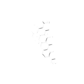 COC(=O)c1ccc2c(c1O)C(=O)C1=C(O)[C@]3(O)C(=O)C(C(N)=O)=C(O)[C@@H](N(C)C)[C@@H]3[C@@H](O)[C@@H]1[C@H]2C